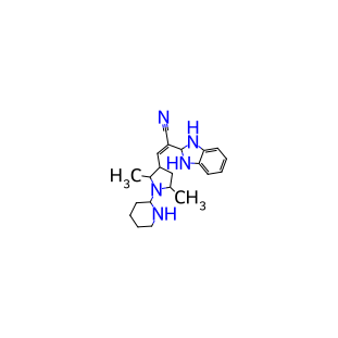 CC1CC(/C=C(/C#N)C2Nc3ccccc3N2)C(C)N1C1CCCCN1